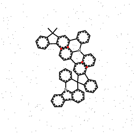 CC1(C)c2ccccc2-c2ccc(-c3ccccc3N(c3ccccc3)c3ccccc3-c3ccc4c(c3)C3(c5ccccc5-4)c4ccccc4-n4c5ccccc5c5cccc3c54)cc21